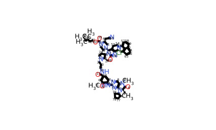 CC[C@@H]1C(=O)N(C)c2cnc(Nc3ccc(C(=O)NCCCN4CCC[C@H]4COc4nc5c(c(N6CCN(C(=O)OCC[Si](C)(C)C)[C@@H](CC#N)C6)n4)CCN(c4cccc6cccc(Cl)c46)C5)cc3OC)nc2N1C1CCCC1